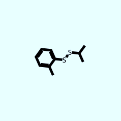 Cc1ccccc1SSC(C)C